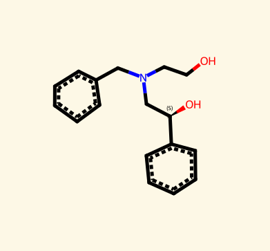 OCCN(Cc1ccccc1)C[C@@H](O)c1ccccc1